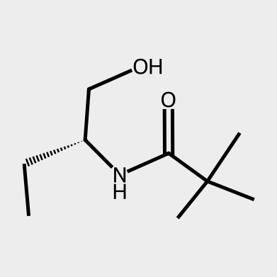 CC[C@H](CO)NC(=O)C(C)(C)C